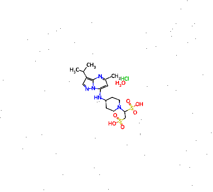 Cc1cc(NC2CCN(C(CS(=O)(=O)O)S(=O)(=O)O)CC2)n2ncc(C(C)C)c2n1.Cl.O